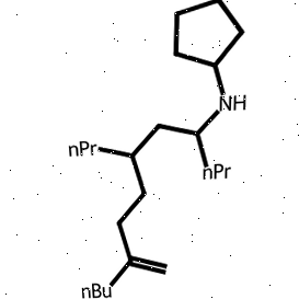 C=C(CCCC)CCC(CCC)CC(CCC)NC1CCCC1